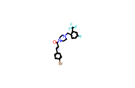 O=C(/C=C/c1ccc(Br)cc1)N1CCN(Cc2ccc(F)cc2C(F)(F)F)CC1